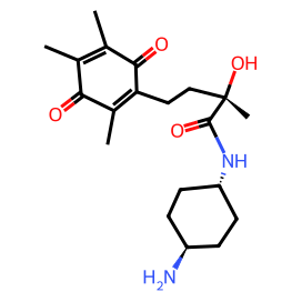 CC1=C(C)C(=O)C(CC[C@](C)(O)C(=O)N[C@H]2CC[C@H](N)CC2)=C(C)C1=O